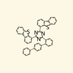 c1ccc(-c2ccc(-c3ccccc3-c3nc(-c4cccc5c4sc4ccccc45)nc(-c4cccc5c4sc4ccccc45)n3)cc2)cc1